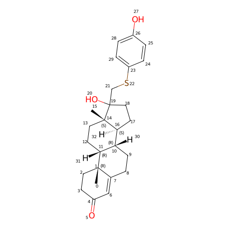 C[C@]12CCC(=O)C=C1CC[C@@H]1[C@H]2CC[C@@]2(C)[C@H]1CCC2(O)CSc1ccc(O)cc1